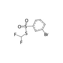 O=S(=O)(SC(F)F)c1cccc(Br)c1